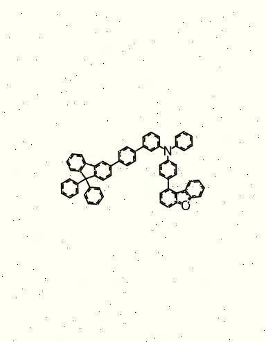 c1ccc(N(c2ccc(-c3cccc4oc5ccccc5c34)cc2)c2cccc(-c3ccc(-c4ccc5c(c4)-c4ccccc4C5(c4ccccc4)c4ccccc4)cc3)c2)cc1